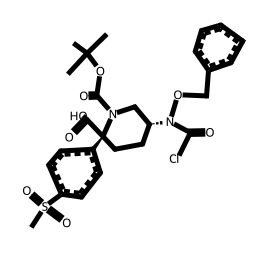 CC(C)(C)OC(=O)N1C[C@H](N(OCc2ccccc2)C(=O)Cl)CC[C@@]1(C(=O)O)c1ccc(S(C)(=O)=O)cc1